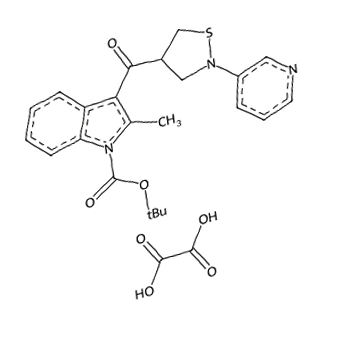 Cc1c(C(=O)C2CSN(c3cccnc3)C2)c2ccccc2n1C(=O)OC(C)(C)C.O=C(O)C(=O)O